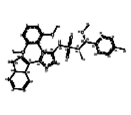 COc1cccc(OC)c1-n1c(NS(=O)(=O)[C@@H](C)[C@H](OC)c2ncc(C)cn2)nnc1C1=CNC2N=CC=CC12